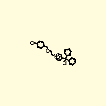 OC(c1ccccc1)(c1ccccc1)C12CC[N+](CCOCc3ccc(Cl)cc3)(CC1)CC2